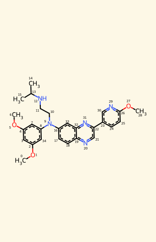 COc1cc(OC)cc(N(CCNC(C)C)c2ccc3ncc(-c4ccc(OC)nc4)nc3c2)c1